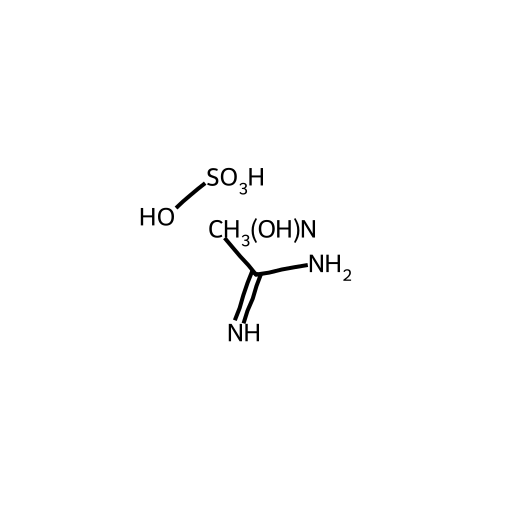 CN(O)C(=N)N.O=S(=O)(O)O